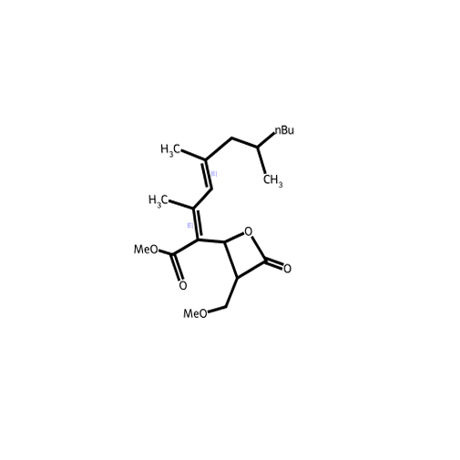 CCCCC(C)C/C(C)=C/C(C)=C(/C(=O)OC)C1OC(=O)C1COC